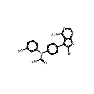 N#Cc1cccc(N(C(N)=O)c2ccc(-c3c(Br)sc4ncnc(N)c34)cc2)c1